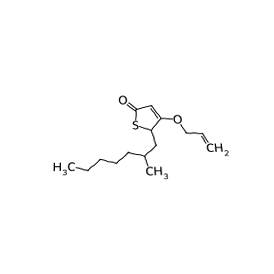 C=CCOC1=CC(=O)SC1CC(C)CCCCC